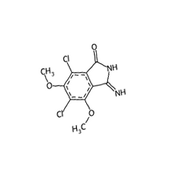 COc1c(Cl)c(OC)c2c(c1Cl)C(=O)NC2=N